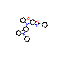 c1ccc(-c2nc3cc4c(cc3o2)Oc2ccccc2N4c2ccc3c(c2)c2ccccc2n3-c2ccccc2)cc1